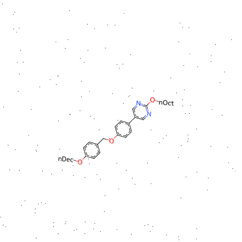 CCCCCCCCCCOc1ccc(COc2ccc(-c3cnc(OCCCCCCCC)nc3)cc2)cc1